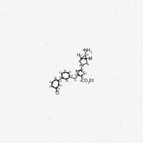 CCOC(=O)c1sc(N2C[C@@H]3[C@@H](N)[C@@H]3C2)nc1Cc1cccc(-c2cccc(Cl)c2)c1